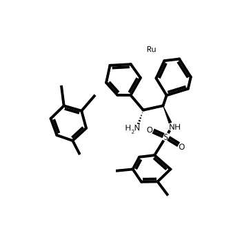 Cc1cc(C)cc(S(=O)(=O)N[C@H](c2ccccc2)[C@H](N)c2ccccc2)c1.Cc1ccc(C)c(C)c1.[Ru]